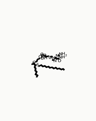 CCCCCCCCCCCCCCCSC(CCCCCCC)C(C)OCCCOP(=O)(O)OCCOCn1cnc2c(=O)[nH]c(N)nc21